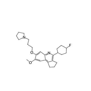 COc1cc2c3c(c(C4CCC(F)CC4)nc2cc1OCCCN1CCCC1)CCC3